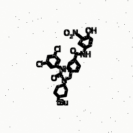 CC(C)(C)C1CCC(N(Cc2ccc(C(=O)Nc3ccc(O)c([N+](=O)[O-])c3)cc2)C(=O)Nc2cc(Cl)cc(Cl)c2)CC1